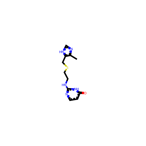 Cc1nc[nH]c1CSCCNc1nccc(=O)[nH]1